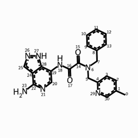 Cc1ccc(CN(Cc2ccccc2)C(=O)C(=O)Nc2cnc(N)c3cn[nH]c23)nc1